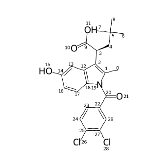 Cc1c([C@H](CC(C)(C)C)C(=O)O)c2cc(O)ccc2n1C(=O)c1ccc(Cl)c(Cl)c1